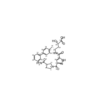 NC(=O)C1CCN(C(=O)c2cc(C(=O)N[C@H](Cc3ccc(-c4ccccc4)cc3)C[C@@H](O)C(=O)O)[nH]n2)C1